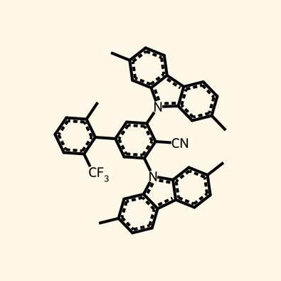 Cc1ccc2c3ccc(C)cc3n(-c3cc(-c4c(C)cccc4C(F)(F)F)cc(-n4c5cc(C)ccc5c5ccc(C)cc54)c3C#N)c2c1